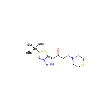 CCC[CH2][Sn]([CH2]CCC)([CH2]CCC)[c]1cn2cnc(C(=O)CCN3CCSCC3)c2s1